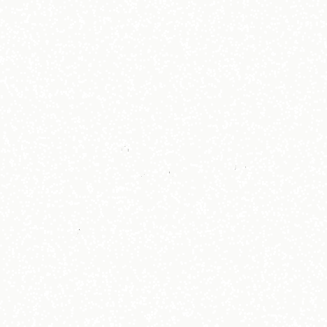 CC(=O)CCC(=O)Oc1ccccc1[N+](=O)[O-]